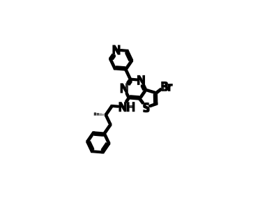 C[C@H](CNc1nc(-c2ccncc2)nc2c(Br)csc12)Cc1ccccc1